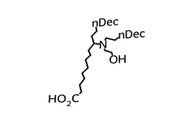 CCCCCCCCCCCCC(CCCCCCCCC(=O)O)N(CCO)CCCCCCCCCCCC